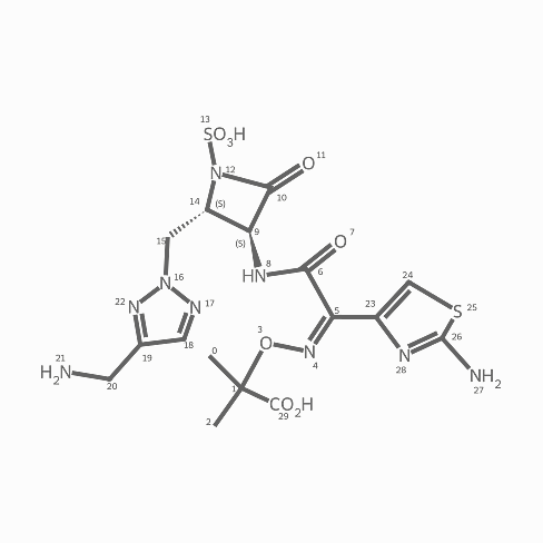 CC(C)(ON=C(C(=O)N[C@@H]1C(=O)N(S(=O)(=O)O)[C@H]1Cn1ncc(CN)n1)c1csc(N)n1)C(=O)O